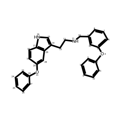 c1ccc(Oc2cccc(CNCCc3c[nH]c4ccc(Oc5ccccc5)cc34)c2)cc1